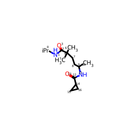 CC(C)NC(=O)C(C)(C)CCC(C)NC(=O)C1CC1